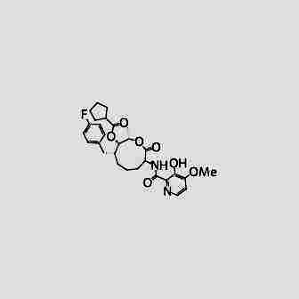 COc1ccnc(C(=O)N[C@H]2CCC[C@H](Cc3ccc(F)cc3)[C@@H](OC(=O)C3CCCC3)[C@H](C)OC2=O)c1O